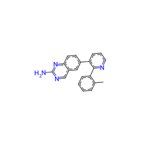 Cc1ccccc1-c1ncccc1-c1ccc2nc(N)ncc2c1